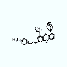 CCCc1cc(CCCN2CCN(C)CC2)cc2c1Cc1c(cccc1C13CC4CC(C1)C(C4)C3)O2